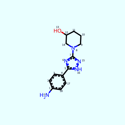 Nc1ccc(-c2nc(N3CCCC(O)C3)n[nH]2)cc1